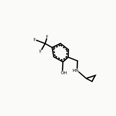 Oc1cc(C(F)(F)F)ccc1CNC1CC1